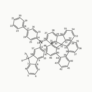 CC1(C)c2ccccc2-c2ccc(N(c3ccc(-c4ccccc4)cc3)c3ccc4c(c3)C3(c5ccccc5-c5ccccc5-c5ccccc53)c3ccccc3-4)cc21